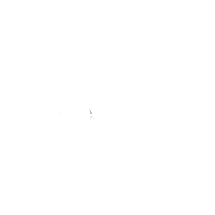 CC(=O)[C@@H]1CCCC[C@H]1NS(=O)(=O)c1ccc(Cl)cc1